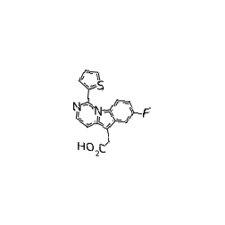 O=C(O)Cc1c2cc(F)ccc2n2c(-c3cccs3)nccc12